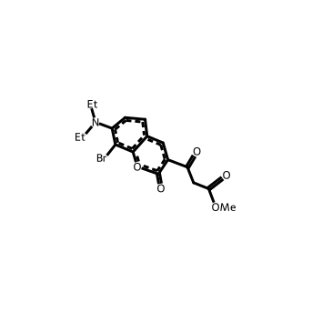 CCN(CC)c1ccc2cc(C(=O)CC(=O)OC)c(=O)oc2c1Br